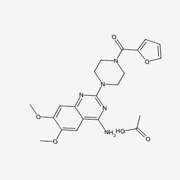 CC(=O)O.COc1cc2nc(N3CCN(C(=O)c4ccco4)CC3)nc(N)c2cc1OC